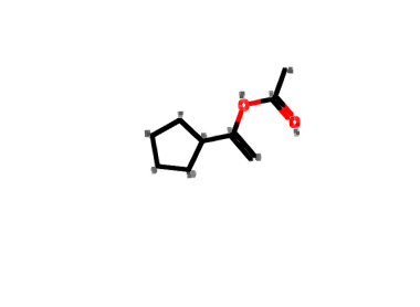 C=C(OC(C)=O)C1CCCC1